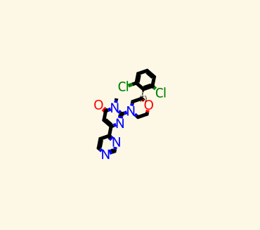 Cn1c(N2CCO[C@@H](c3c(Cl)cccc3Cl)C2)nc(-c2ccncn2)cc1=O